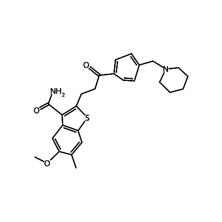 COc1cc2c(C(N)=O)c(CCC(=O)c3ccc(CN4CCCCC4)cc3)sc2cc1C